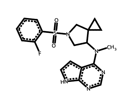 CN(c1ncnc2[nH]ccc12)C1CN(S(=O)(=O)c2ccccc2F)CC12CC2